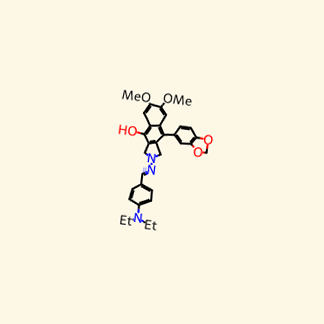 CCN(CC)c1ccc(/C=N/N2Cc3c(c(-c4ccc5c(c4)OCO5)c4cc(OC)c(OC)cc4c3O)C2)cc1